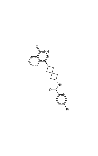 O=C(N[C@H]1CC2(C1)C[C@H](c1n[nH]c(=O)c3ccccc31)C2)c1ccc(Br)cn1